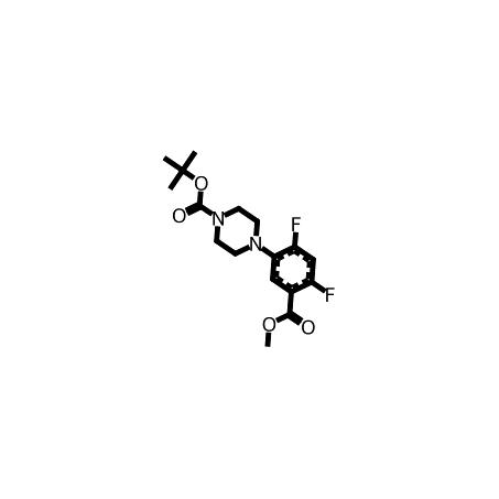 COC(=O)c1cc(N2CCN(C(=O)OC(C)(C)C)CC2)c(F)cc1F